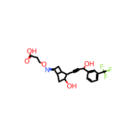 O=C(O)CCON=C1CC2C1CC(O)C2C#CC(O)c1cccc(C(F)(F)F)c1